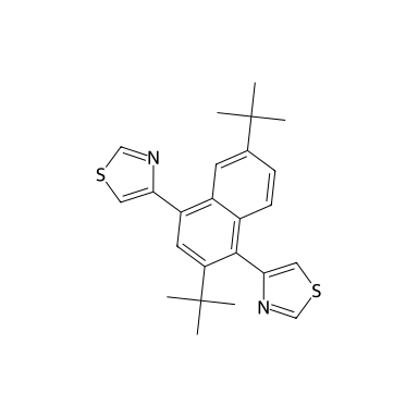 CC(C)(C)c1ccc2c(-c3cscn3)c(C(C)(C)C)cc(-c3cscn3)c2c1